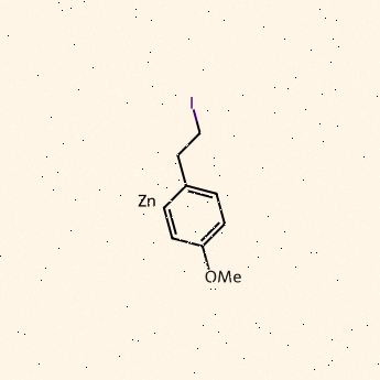 COc1ccc(CCI)cc1.[Zn]